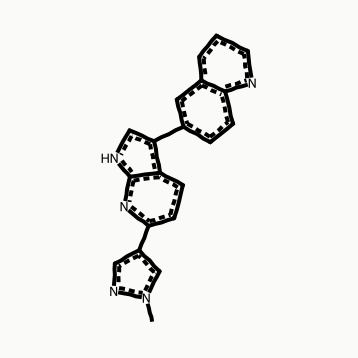 Cn1cc(-c2ccc3c(-c4ccc5ncccc5c4)c[nH]c3n2)cn1